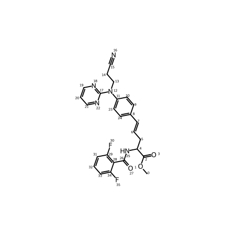 COC(=O)C(CC=Cc1ccc(N(CCC#N)c2ncccn2)cc1)NC(=O)c1c(F)cccc1F